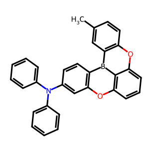 Cc1ccc2c(c1)B1c3ccc(N(c4ccccc4)c4ccccc4)cc3Oc3cccc(c31)O2